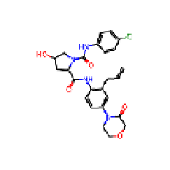 C=CCc1cc(N2CCOCC2=O)ccc1NC(=O)C1CC(O)CN1C(=O)Nc1ccc(Cl)cc1